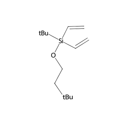 C=C[Si](C=C)(OCCC(C)(C)C)C(C)(C)C